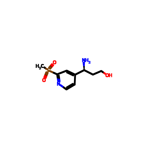 CS(=O)(=O)c1cc([C@@H](N)CCO)ccn1